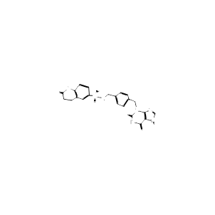 CCn1cnc2c1c(=O)[nH]c(=O)n2Cc1ccc(CNS(=O)(=O)c2ccc3c(c2)CCC(=O)N3)cc1